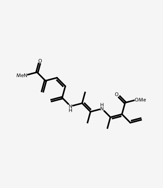 C=C/C(C(=O)OC)=C(\C)N/C(C)=C(\C)NC(=C)/C=C\C(=C)C(=O)NC